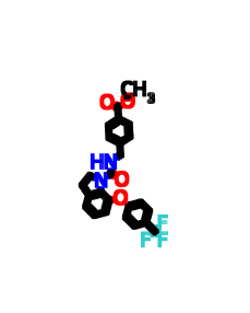 COC(=O)c1ccc(CNC(=O)N2CCc3cccc(Oc4ccc(C(F)(F)F)cc4)c32)cc1